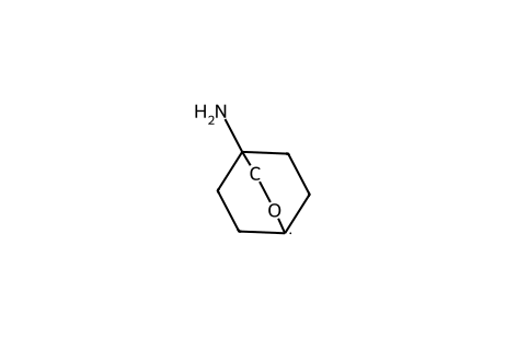 NC12CC[C](CC1)OC2